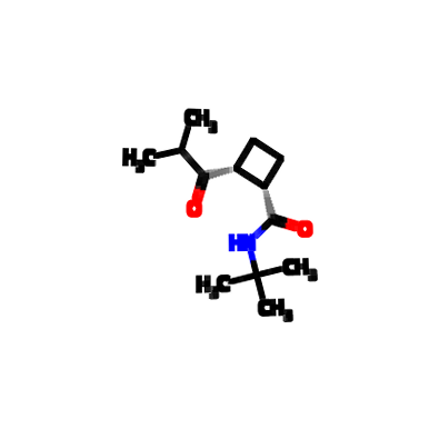 CC(C)C(=O)[C@@H]1CC[C@@H]1C(=O)NC(C)(C)C